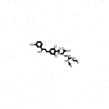 N#CNC(NCCF)NC[C@H](NC(=O)c1c(Cl)cc(CCC(O)c2cccc(O)c2)cc1Cl)C(=O)O